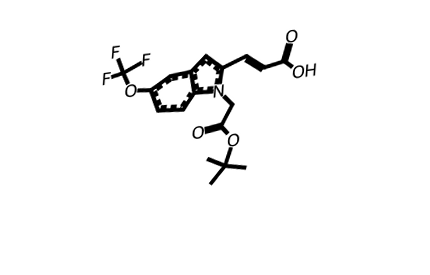 CC(C)(C)OC(=O)Cn1c(C=CC(=O)O)cc2cc(OC(F)(F)F)ccc21